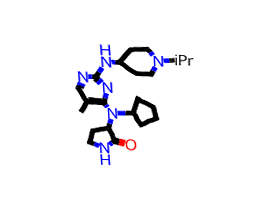 Cc1cnc(NC2CCN(C(C)C)CC2)nc1N(C1CCCC1)C1CCNC1=O